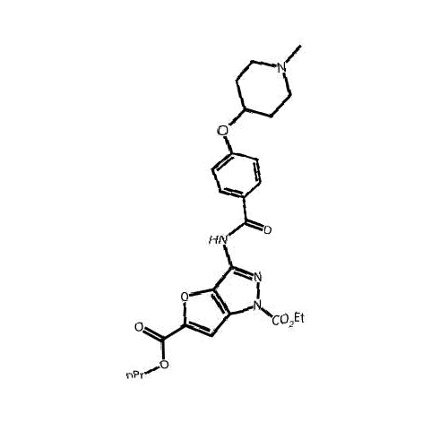 CCCOC(=O)c1cc2c(o1)c(NC(=O)c1ccc(OC3CCN(C)CC3)cc1)nn2C(=O)OCC